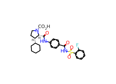 O=C(NS(=O)(=O)c1ccccc1F)c1ccc(NC(=O)[C@@H]2[C@H](C3CCCCC3)CCN2C(=O)O)cc1